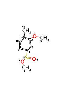 COc1cc(S(=O)OC)ccc1C